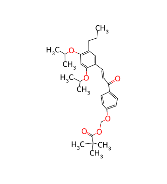 CCCc1cc(/C=C/C(=O)c2ccc(OCOC(=O)C(C)(C)C)cc2)c(OC(C)C)cc1OC(C)C